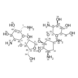 NC[C@@H]1O[C@H](O[C@@H]2C(O)[C@H](O[C@@H]3C(O)[C@H](N)CC(N)[C@H]3O[C@H]3OC(CO)[C@@H](O)[C@H](O)C3N)O[C@@H]2CO)C(N)C(O)[C@@H]1O